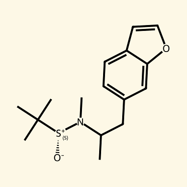 CC(Cc1ccc2ccoc2c1)N(C)[S@+]([O-])C(C)(C)C